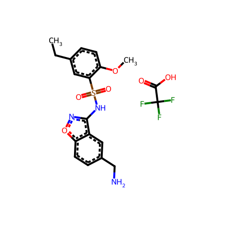 CCc1ccc(OC)c(S(=O)(=O)Nc2noc3ccc(CN)cc23)c1.O=C(O)C(F)(F)F